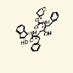 O=C(N[C@@H](Cc1ccccc1)[C@@H](O)C[C@@H](Cc1ccccc1)C(=O)N[C@H]1c2ccccc2C[C@H]1O)O[C@H]1CCOC1